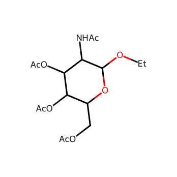 CCOC1OC(COC(C)=O)C(OC(C)=O)C(OC(C)=O)C1NC(C)=O